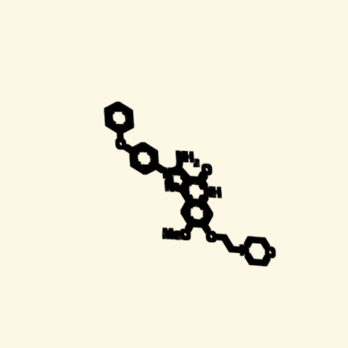 COc1cc2c(cc1OCCN1CCOCC1)[nH]c(=O)c1c(N)n(-c3ccc(Oc4ccccc4)cc3)nc12